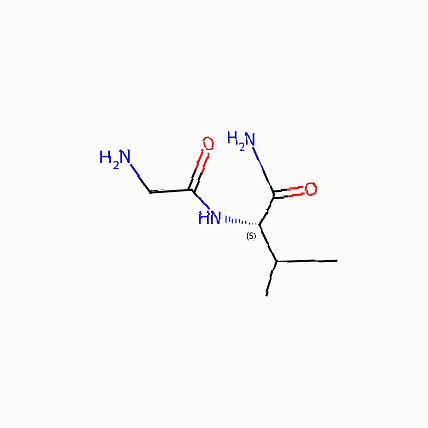 CC(C)[C@H](NC(=O)CN)C(N)=O